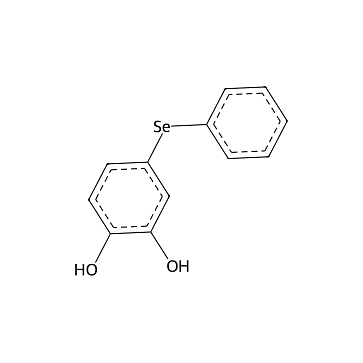 Oc1ccc([Se]c2ccccc2)cc1O